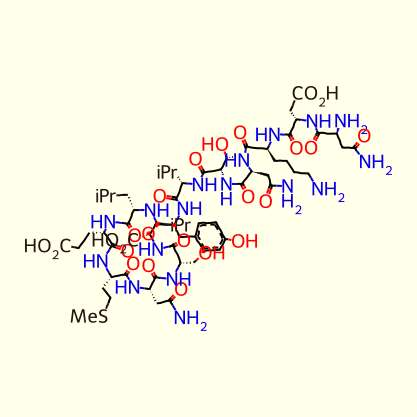 CSCC[C@H](NC(=O)[C@H](CCC(=O)O)NC(=O)[C@H](CC(C)C)NC(=O)[C@H](Cc1ccc(O)cc1)NC(=O)[C@@H](NC(=O)[C@@H](NC(=O)[C@H](CC(N)=O)NC(=O)[C@H](CCCCN)NC(=O)[C@H](CC(=O)O)NC(=O)[C@@H](N)CC(N)=O)[C@@H](C)O)C(C)C)C(=O)N[C@@H](CC(N)=O)C(=O)N[C@@H](CO)C(=O)N[C@@H](CC(C)C)C(=O)O